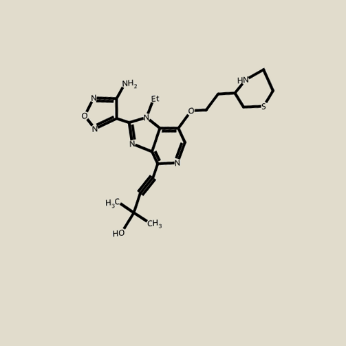 CCn1c(-c2nonc2N)nc2c(C#CC(C)(C)O)ncc(OCCC3CSCCN3)c21